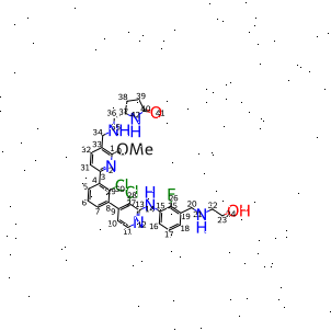 COc1nc(-c2cccc(-c3ccnc(Nc4cccc(CNCCO)c4F)c3Cl)c2Cl)ccc1CNC[C@@H]1CCC(=O)N1